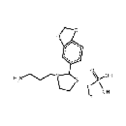 CCOP(=O)(O)O.NCCCN1CCSC1c1ccc2c(c1)OCO2